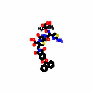 CC(C)(O/N=C(\C(=O)NC1C(=O)N2C(C(=O)O)=C(CN3C(=O)c4cc5c(cc4C3=O)OC(c3ccccc3)(c3ccccc3)O5)CS[C@@H]12)c1csc(N)n1)C(=O)O